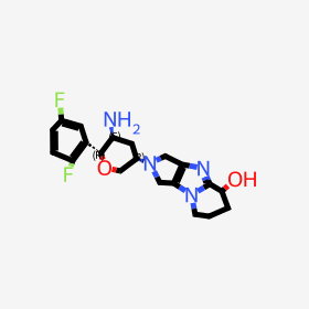 N[C@H]1C[C@@H](N2Cc3nc4n(c3C2)CCCC4O)CO[C@@H]1c1cc(F)ccc1F